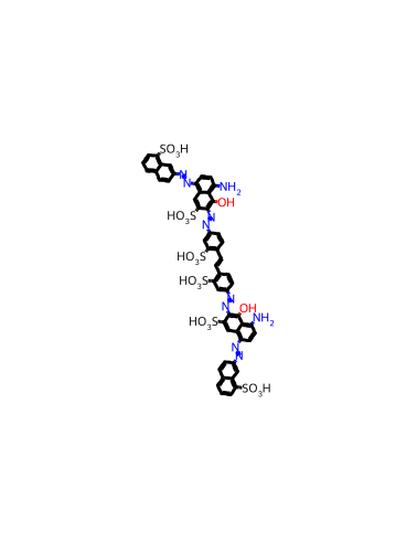 Nc1ccc(N=Nc2ccc3cccc(S(=O)(=O)O)c3c2)c2cc(S(=O)(=O)O)c(N=Nc3ccc(/C=C/c4ccc(N=Nc5c(S(=O)(=O)O)cc6c(N=Nc7ccc8cccc(S(=O)(=O)O)c8c7)ccc(N)c6c5O)cc4S(=O)(=O)O)c(S(=O)(=O)O)c3)c(O)c12